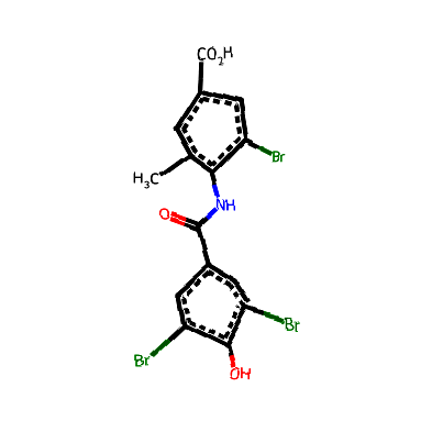 Cc1cc(C(=O)O)cc(Br)c1NC(=O)c1cc(Br)c(O)c(Br)c1